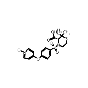 CC1(C)SCCN(S(=O)(=O)c2ccc(Oc3cc[n+]([O-])cc3)cc2)[C@H]1C(=O)O